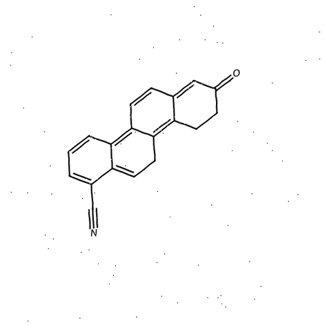 N#Cc1cccc2c1=CCc1c3c(ccc1=2)=CC(=O)CC3